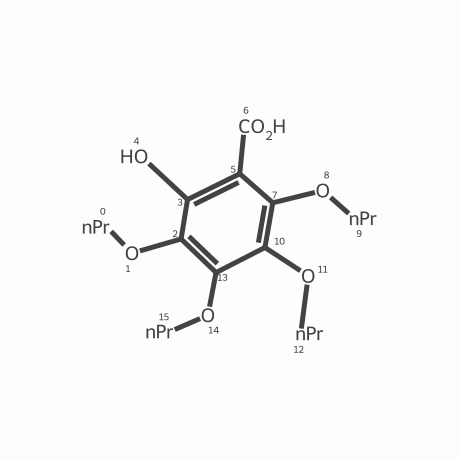 CCCOc1c(O)c(C(=O)O)c(OCCC)c(OCCC)c1OCCC